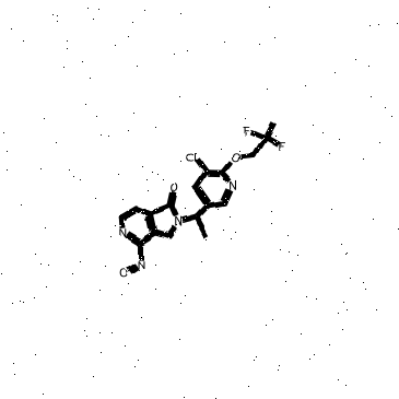 CC(c1cnc(OCC(C)(F)F)c(Cl)c1)N1Cc2c(ccnc2N=O)C1=O